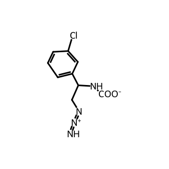 N=[N+]=NCC(NC(=O)[O-])c1cccc(Cl)c1